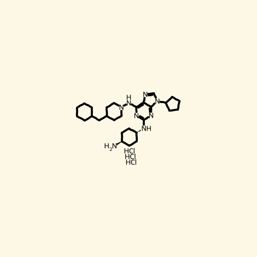 Cl.Cl.Cl.N[C@H]1CC[C@H](Nc2nc(NN3CCC(CC4CCCCC4)CC3)c3ncn(C4CCCC4)c3n2)CC1